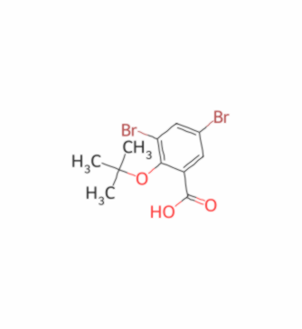 CC(C)(C)Oc1c(Br)cc(Br)cc1C(=O)O